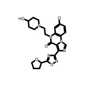 O=c1c2c(-c3noc(C4CCCO4)n3)ncn2c2ccc(Cl)cc2n1CCN1CCC(O)CC1